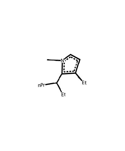 CCCC(CC)c1c(CC)ccn1C